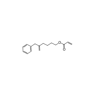 C=CC(=O)OCCCCC(=C)Cc1ccccc1